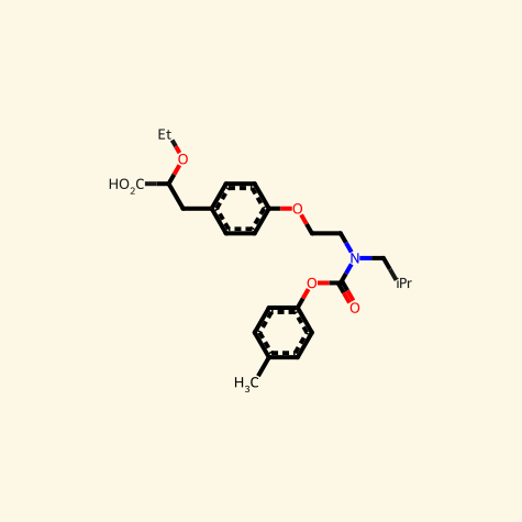 CCOC(Cc1ccc(OCCN(CC(C)C)C(=O)Oc2ccc(C)cc2)cc1)C(=O)O